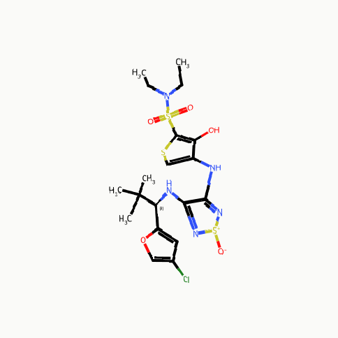 CCN(CC)S(=O)(=O)c1scc(Nc2n[s+]([O-])nc2N[C@@H](c2cc(Cl)co2)C(C)(C)C)c1O